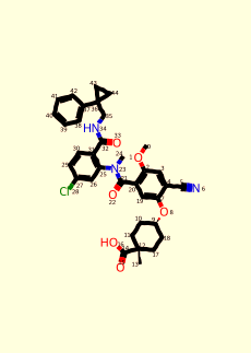 COc1cc(C#N)c(O[C@H]2CC[C@@](C)(C(=O)O)CC2)cc1C(=O)N(C)c1cc(Cl)ccc1C(=O)NCC1(c2ccccc2)CC1